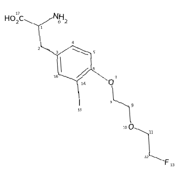 NC(Cc1ccc(OCCOCCF)c(I)c1)C(=O)O